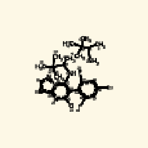 CC(N)C(C)(C)C.CC(Nc1c(-c2c(F)cc(I)cc2F)c(Cl)nc2ncnn12)C(C)(C)C